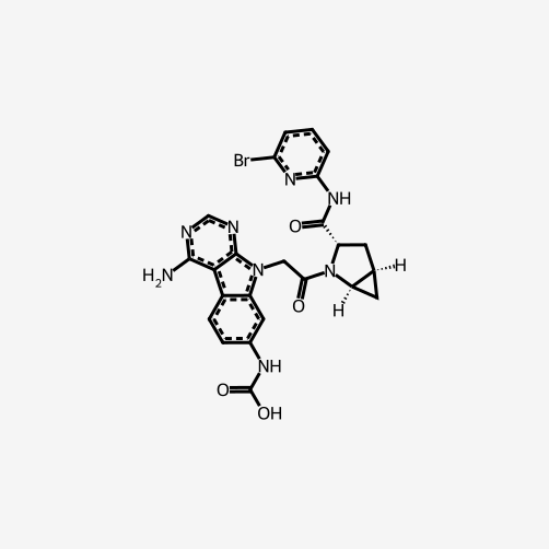 Nc1ncnc2c1c1ccc(NC(=O)O)cc1n2CC(=O)N1[C@@H]2C[C@@H]2C[C@H]1C(=O)Nc1cccc(Br)n1